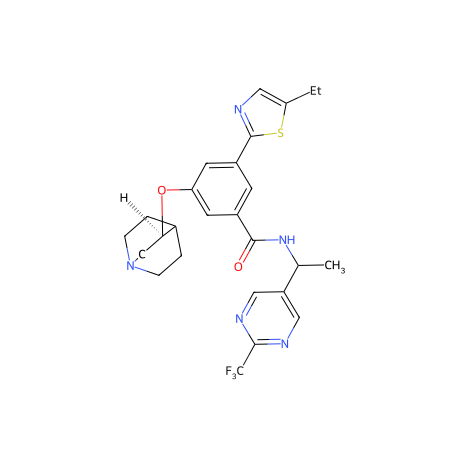 CCc1cnc(-c2cc(O[C@@H]3CN4CCC3CC4)cc(C(=O)NC(C)c3cnc(C(F)(F)F)nc3)c2)s1